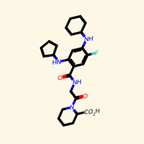 O=C(NCC(=O)N1CCCCC1C(=O)O)c1cc(F)c(NC2CCCCC2)cc1NC1CCCC1